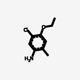 CCOc1cc(C)c(N)cc1Cl